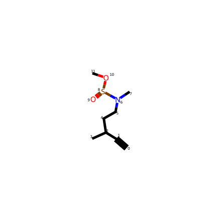 C#CC(C)CCN(C)S(=O)OC